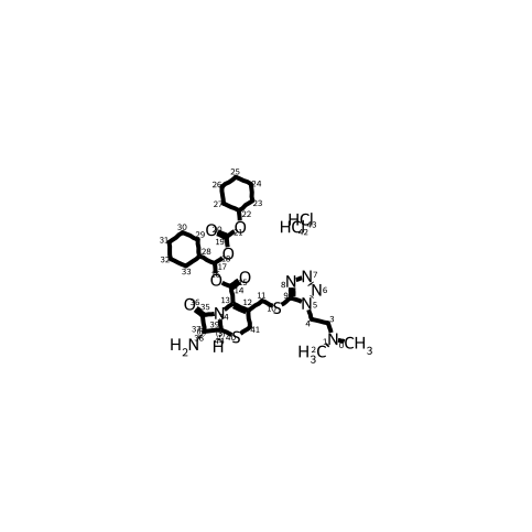 CN(C)CCn1nnnc1SCC1=C(C(=O)OC(OC(=O)OC2CCCCC2)C2CCCCC2)N2C(=O)[C@@H](N)[C@@H]2SC1.Cl.Cl